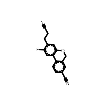 N#CCCc1cc2c(cc1F)-c1ccc(C#N)cc1CO2